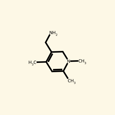 CC1=CC(C)=C(CN)CN1C